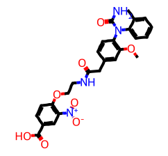 COc1cc(CC(=O)NCCOc2ccc(C(=O)O)cc2[N+](=O)[O-])ccc1N(C(N)=O)c1ccccc1C